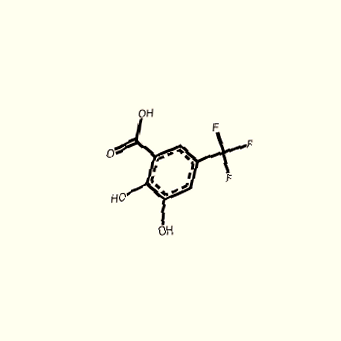 O=C(O)c1cc(C(F)(F)F)cc(O)c1O